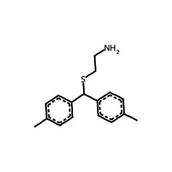 Cc1ccc(C(SCCN)c2ccc(C)cc2)cc1